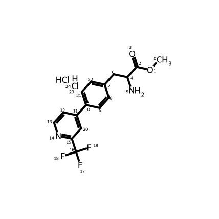 COC(=O)C(N)Cc1ccc(-c2ccnc(C(F)(F)F)c2)cc1.Cl.Cl